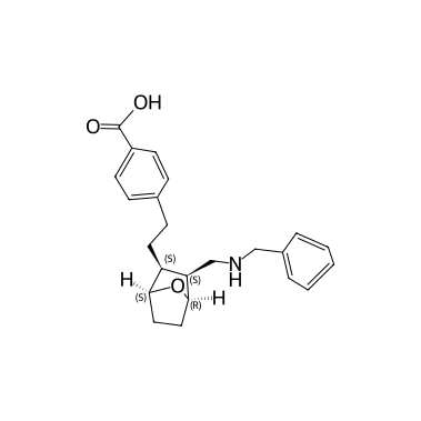 O=C(O)c1ccc(CC[C@H]2[C@@H](CNCc3ccccc3)[C@H]3CC[C@@H]2O3)cc1